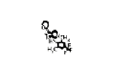 Cc1cc(C(F)(F)F)cc(C)c1Nc1nccc2c1ncn2C1CCCCO1